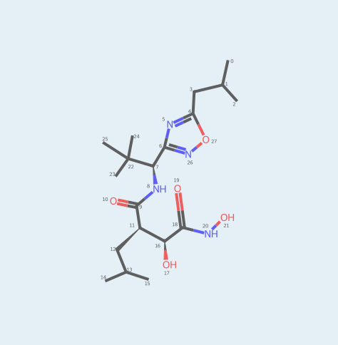 CC(C)Cc1nc([C@@H](NC(=O)[C@H](CC(C)C)[C@H](O)C(=O)NO)C(C)(C)C)no1